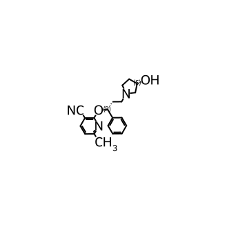 Cc1ccc(C#N)c(O[C@H](CCN2CC[C@H](O)C2)c2ccccc2)n1